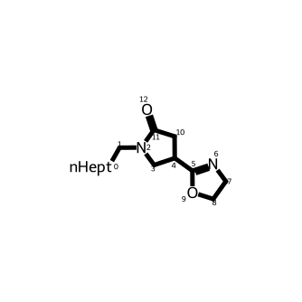 CCCCCCCCN1CC(C2=NCCO2)CC1=O